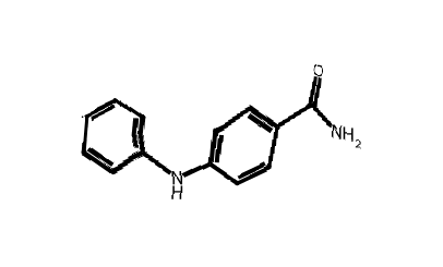 NC(=O)c1ccc(Nc2cc[c]cc2)cc1